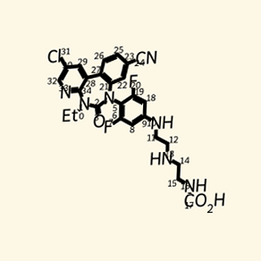 CCN1C(=O)N(c2c(F)cc(NCCNCCNC(=O)O)cc2F)c2cc(C#N)ccc2-c2cc(Cl)cnc21